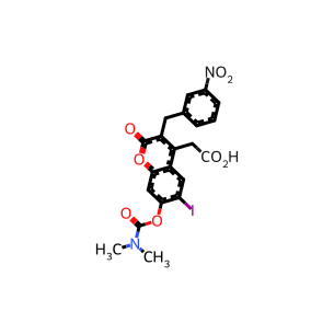 CN(C)C(=O)Oc1cc2oc(=O)c(Cc3cccc([N+](=O)[O-])c3)c(CC(=O)O)c2cc1I